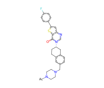 CC(=O)N1CCN(Cc2ccc3c(c2)CC[C@H](n2cnc4cc(-c5ccc(F)cc5)sc4c2=O)C3)CC1